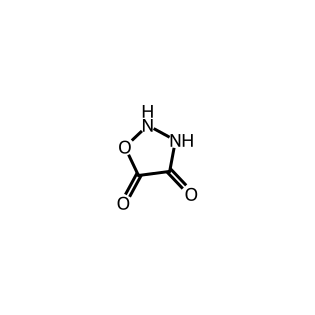 O=c1[nH][nH]oc1=O